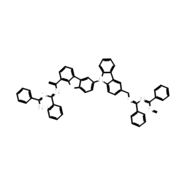 C=N/C(=N\C(=N/Cc1ccc2c(c1)c1ccccc1n2-c1ccc2sc3c(C(=C)/N=C(\N=C(/N)c4ccccc4)c4ccccc4)cccc3c2c1)c1ccccc1)c1ccccc1